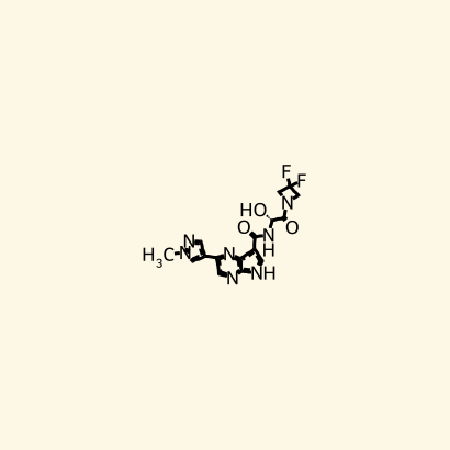 Cn1cc(-c2cnc3[nH]cc(C(=O)N[C@H](O)C(=O)N4CC(F)(F)C4)c3n2)cn1